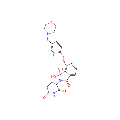 O=C1CCC(N2C(=O)c3cccc(OCc4ccc(CN5CCOCC5)cc4F)c3C2(O)O)C(=O)N1